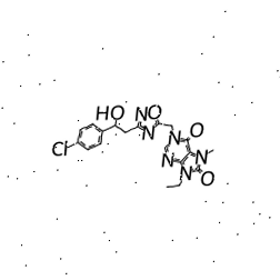 CCn1c(=O)n(C)c2c(=O)n(Cc3nc(CC(O)c4ccc(Cl)cc4)no3)cnc21